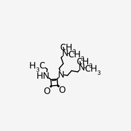 CCNc1c(N(CCCN(C)C)CCCN(C)C)c(=O)c1=O